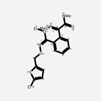 CCO/C(=N/OCc1ccc(Cl)s1)c1ccccc1/C(=N\OC)C(=O)NC